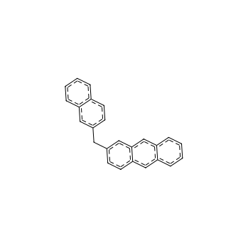 c1ccc2cc(Cc3ccc4cc5ccccc5cc4c3)ccc2c1